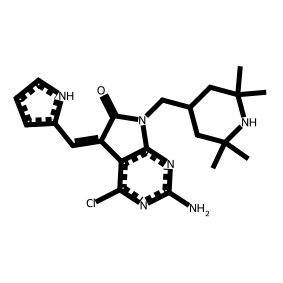 CC1(C)CC(CN2C(=O)/C(=C\c3ccc[nH]3)c3c(Cl)nc(N)nc32)CC(C)(C)N1